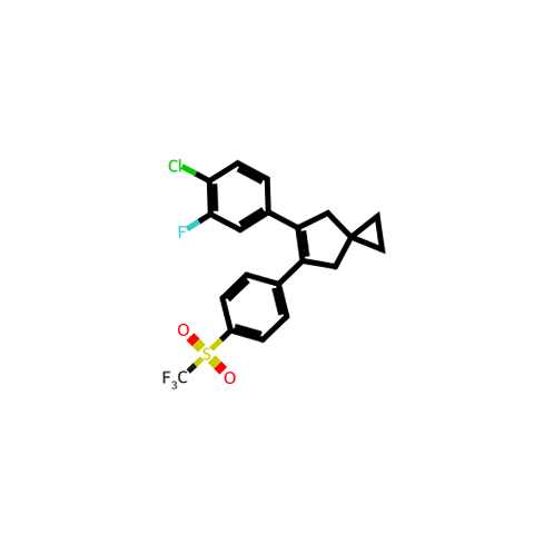 O=S(=O)(c1ccc(C2=C(c3ccc(Cl)c(F)c3)CC3(CC3)C2)cc1)C(F)(F)F